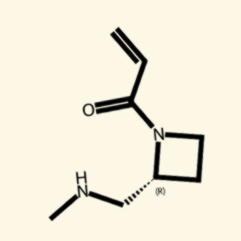 C=CC(=O)N1CC[C@@H]1CNC